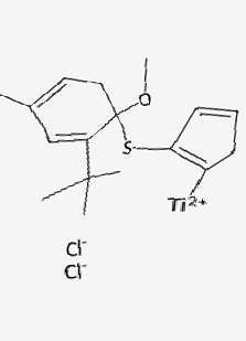 COC1(SC2=[C]([Ti+2])CC=C2)CC=C(C)C=C1C(C)(C)C.[Cl-].[Cl-]